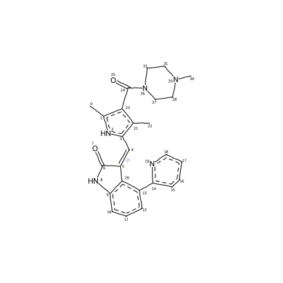 Cc1[nH]c(/C=C2\C(=O)Nc3cccc(-c4ccccn4)c32)c(C)c1C(=O)N1CCN(C)CC1